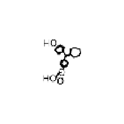 O=C(O)COc1ccc(C(=C2CCCCCC2)c2ccc(O)cc2)cc1